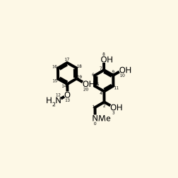 CNCC(O)c1ccc(O)c(O)c1.NOc1ccccc1O